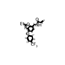 C=CC(=O)NCc1ccc(Oc2ccc(C(F)(F)F)cc2)c2nc(CC)oc12